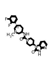 CN1C[C@H](NC(=O)N2CCC(n3c(=O)[nH]c4ncccc43)CC2)CC[C@@H](c2cccc(F)c2F)C1